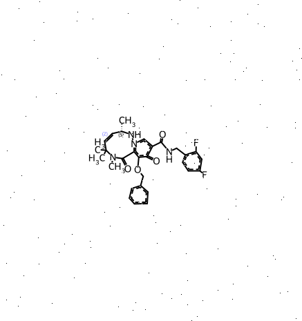 C[C@H]1/C=C\C(C)(C)N(C)C(=O)c2c(OCc3ccccc3)c(=O)c(C(=O)NCc3ccc(F)cc3F)cn2N1